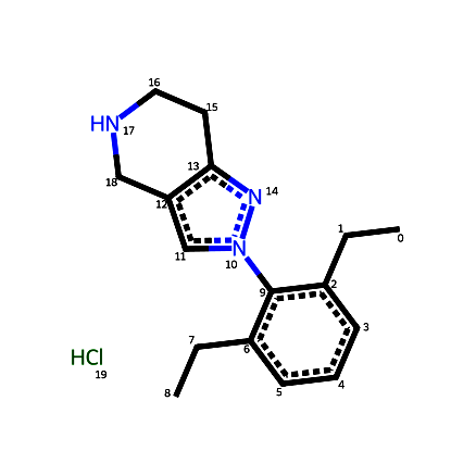 CCc1cccc(CC)c1-n1cc2c(n1)CCNC2.Cl